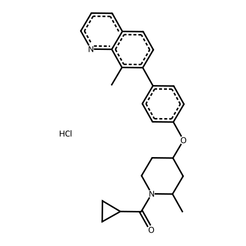 Cc1c(-c2ccc(OC3CCN(C(=O)C4CC4)C(C)C3)cc2)ccc2cccnc12.Cl